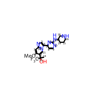 COc1cc2ncc(-c3ccnc(N[C@@H]4CCCNC4)n3)n2cc1C(C)(O)C(F)(F)F